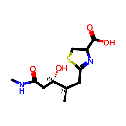 CNC(=O)C[C@H](O)[C@H](C)CC1=NC(C(=O)O)CS1